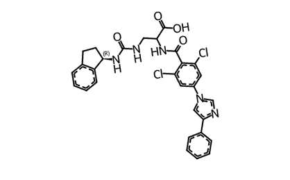 O=C(NCC(NC(=O)c1c(Cl)cc(-n2cnc(-c3ccccc3)c2)cc1Cl)C(=O)O)N[C@@H]1CCc2ccccc21